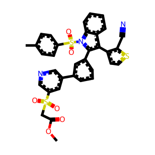 COC(=O)CS(=O)(=O)c1cncc(-c2cccc(-c3c(-c4ccsc4C#N)c4ccccc4n3S(=O)(=O)c3ccc(C)cc3)c2)c1